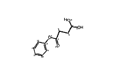 O=C(CC[C](O)O)Oc1ccccc1